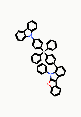 c1ccc(-n2c3oc4ccccc4c3c3cccc(-c4ccc([Si](c5ccccc5)(c5ccccc5)c5ccc(-n6c7ccccc7c7ccccc76)cc5)cc4)c32)cc1